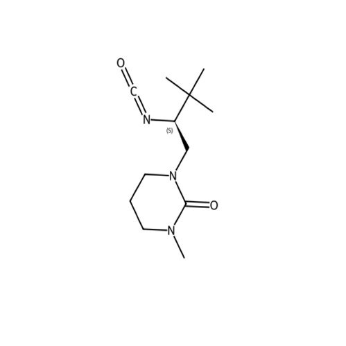 CN1CCCN(C[C@@H](N=C=O)C(C)(C)C)C1=O